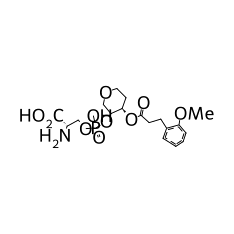 COc1ccccc1CCC(=O)O[C@@H]1CCOC[C@H]1OP(=O)(O)OC[C@H](N)C(=O)O